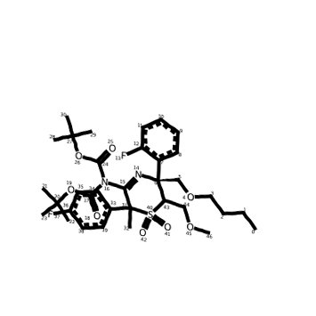 CCCCOC[C@]1(c2ccccc2F)N=C(N(C(=O)OC(C)(C)C)C(=O)OC(C)(C)C)C(C)(c2ccc(F)cc2)S(=O)(=O)C1COC